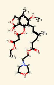 CCOC(=O)CC(=O)Oc1c(C/C=C(\C)CCC(=O)OCCN2CCOCC2)c(OC)c(C)c2c1C(=O)OC2